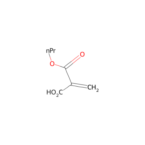 C=C(C(=O)O)C(=O)OCCC